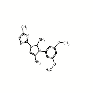 COc1cc(OC)cc(N2C(N)=NN(c3ncc(C)s3)C2N)c1